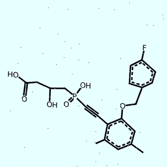 Cc1cc(C)c(C#CP(=O)(O)CC(O)CC(=O)O)c(OCc2ccc(F)cc2)c1